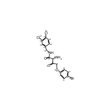 NC(C(=O)COc1ccc(Br)cc1)C(=O)NCc1ccc(Cl)c(Cl)c1